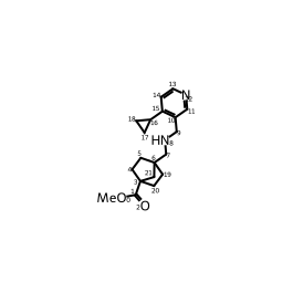 COC(=O)C12CCC(CNCc3cnccc3C3CC3)(CC1)C2